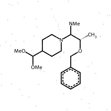 CNC([C@H](C)OCc1ccccc1)N1CCC(C(OC)OC)CC1